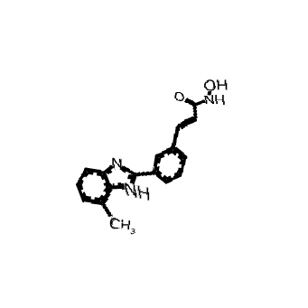 Cc1cccc2nc(-c3cccc(/C=C/C(=O)NO)c3)[nH]c12